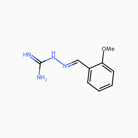 COc1ccccc1C=NNC(=N)N